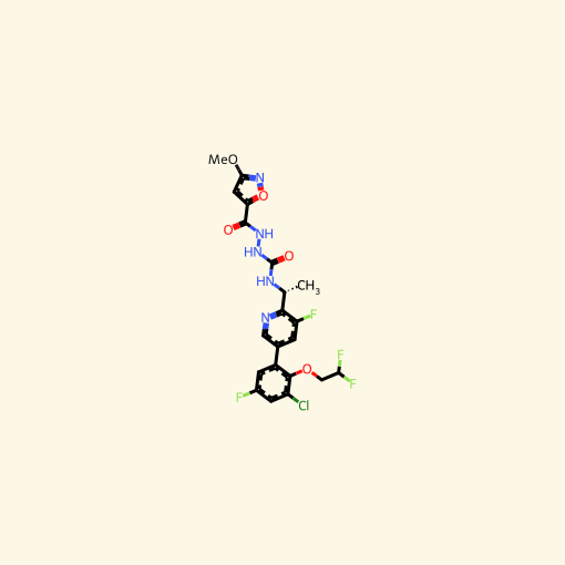 COc1cc(C(=O)NNC(=O)N[C@H](C)c2ncc(-c3cc(F)cc(Cl)c3OCC(F)F)cc2F)on1